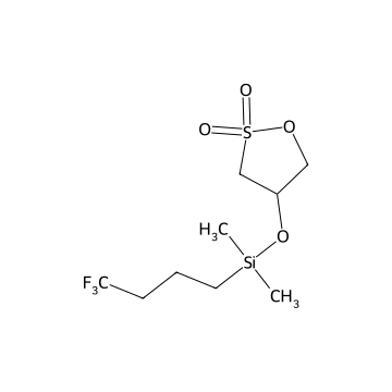 C[Si](C)(CCCC(F)(F)F)OC1COS(=O)(=O)C1